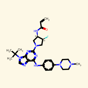 C=CC(=O)N[C@@H]1CN(c2nc(Nc3ccc(N4CCN(C)CC4)cc3)c3ncn(C(C)(C)C)c3n2)C[C@@H]1F